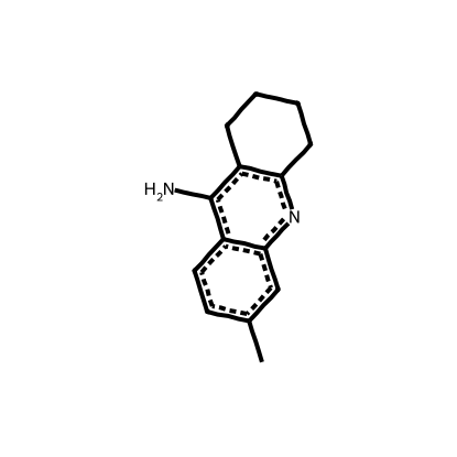 Cc1ccc2c(N)c3c(nc2c1)CCCC3